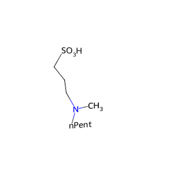 CCCCCN(C)CCCS(=O)(=O)O